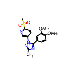 COc1ccc(-c2nc(C(F)(F)F)nn2-c2ccc(S(C)(=O)=O)nc2)cc1OC